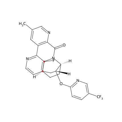 Cc1cnc(C(=O)N2C[C@@H]3CC[C@H]2[C@H](Oc2ccc(C(F)(F)F)cn2)C3)c(-c2ncccc2F)c1